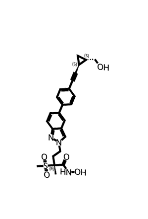 C[C@@](CCn1cc2cc(-c3ccc(C#C[C@H]4C[C@@H]4CO)cc3)ccc2n1)(C(=O)NO)S(C)(=O)=O